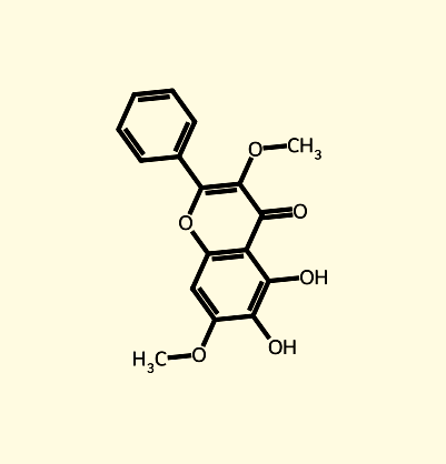 COc1cc2oc(-c3ccccc3)c(OC)c(=O)c2c(O)c1O